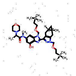 CC(C(=O)N(C)c1cc(O)c2nc(-c3nn(COCC[Si](C)(C)C)c4c3C[C@@H]3C[C@]3(C)C4)n(COCC[Si](C)(C)C)c2c1)N1CCOCC1